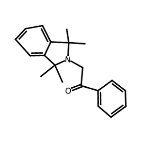 CC1(C)c2ccccc2C(C)(C)N1CC(=O)c1ccccc1